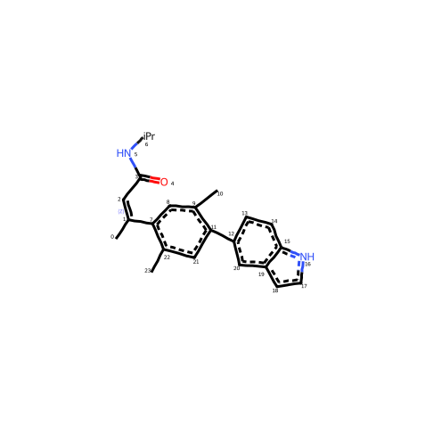 C/C(=C/C(=O)NC(C)C)c1cc(C)c(-c2ccc3[nH]ccc3c2)cc1C